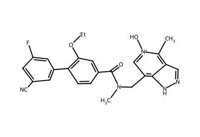 CCOc1cc(C(=O)N(C)Cc2c[n+](O)c(C)c3cn[nH]c23)ccc1-c1cc(F)cc(C#N)c1